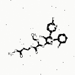 CCOC(Oc1nn(-c2ccccc2F)c(-c2ccc(F)nc2)c1Br)C(=O)OCCC(=O)OC